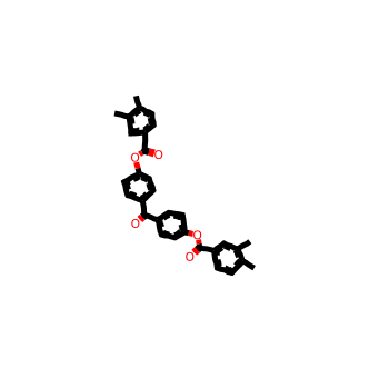 Cc1ccc(C(=O)Oc2ccc(C(=O)c3ccc(OC(=O)c4ccc(C)c(C)c4)cc3)cc2)cc1C